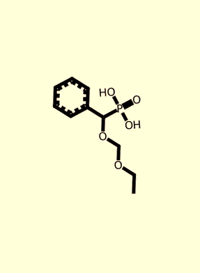 CCOCOC(c1ccccc1)P(=O)(O)O